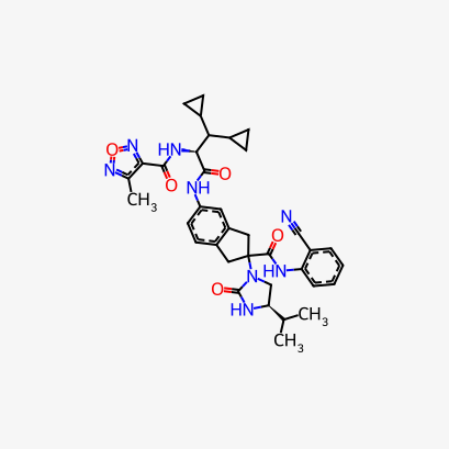 Cc1nonc1C(=O)N[C@H](C(=O)Nc1ccc2c(c1)CC(C(=O)Nc1ccccc1C#N)(N1C[C@@H](C(C)C)NC1=O)C2)C(C1CC1)C1CC1